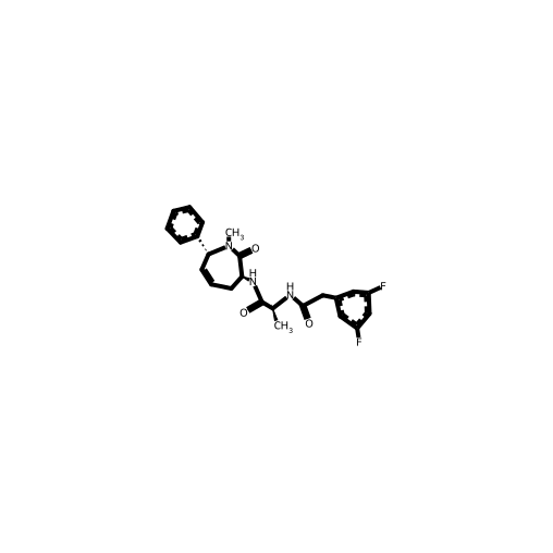 C[C@H](NC(=O)Cc1cc(F)cc(F)c1)C(=O)N[C@H]1CC=C[C@H](c2ccccc2)N(C)C1=O